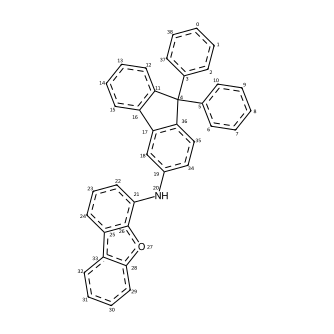 c1ccc(C2(c3ccccc3)c3ccccc3-c3cc(Nc4cccc5c4oc4ccccc45)ccc32)cc1